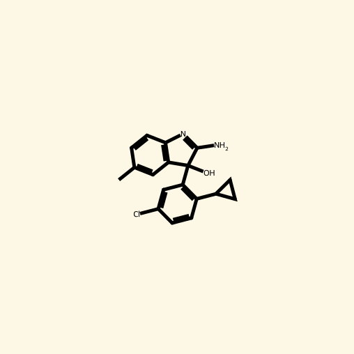 Cc1ccc2c(c1)C(O)(c1cc(Cl)ccc1C1CC1)C(N)=N2